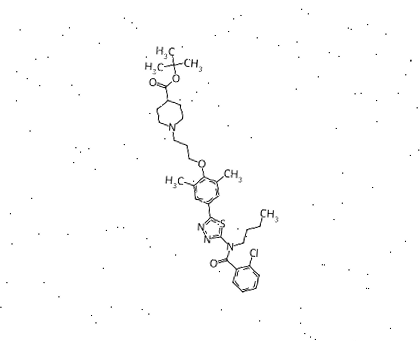 CCCCN(C(=O)c1ccccc1Cl)c1nnc(-c2cc(C)c(OCCCN3CCC(C(=O)OC(C)(C)C)CC3)c(C)c2)s1